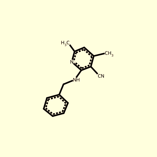 Cc1cc(C)c(C#N)c(NCc2ccccc2)n1